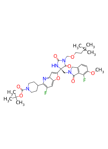 COc1ccc2c(c1F)C(=O)N(C[C@@]1(c3cc4nc(C5CCN(C(=O)OC(C)(C)C)CC5)c(F)cc4o3)NC(=O)N(COCC[Si](C)(C)C)C1=O)C2